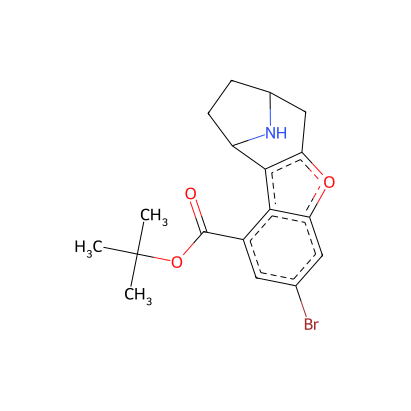 CC(C)(C)OC(=O)c1cc(Br)cc2oc3c(c12)C1CCC(C3)N1